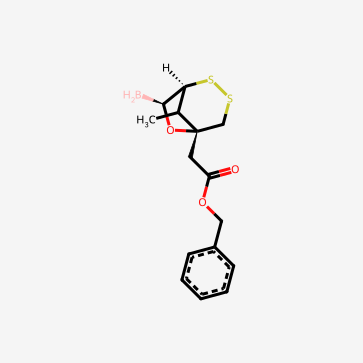 B[C@@H]1O[C@@]2(CC(=O)OCc3ccccc3)CSS[C@H]1C2C